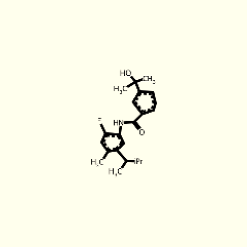 Cc1cc(F)c(NC(=O)c2cccc(C(C)(C)O)c2)cc1C(C)C(C)C